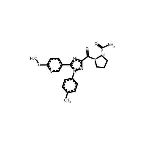 COc1ccc(-c2nc(C(=O)N3CCC[C@H]3C(N)=O)nn2-c2ccc(C)cc2)cn1